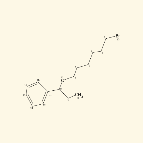 CCC(OCCCCCCBr)c1ccccc1